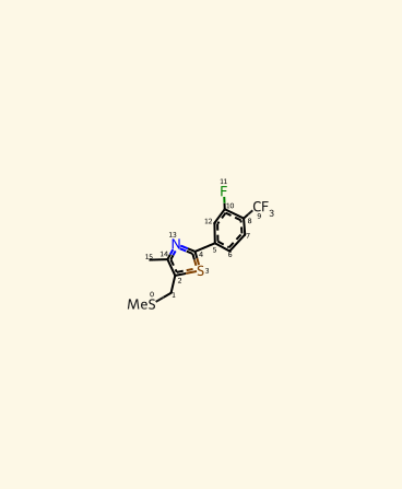 CSCc1sc(-c2ccc(C(F)(F)F)c(F)c2)nc1C